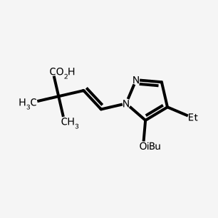 CCc1cnn(/C=C/C(C)(C)C(=O)O)c1OCC(C)C